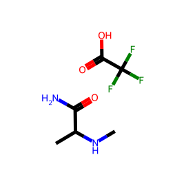 CNC(C)C(N)=O.O=C(O)C(F)(F)F